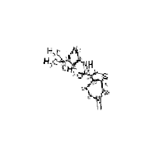 CC(C)(C)c1cncc(NC(=O)c2csc3c2CCNC3)c1